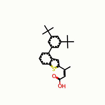 C/C(=C/C(=O)O)c1cc2c(-c3cc(C(C)(C)C)cc(C(C)(C)C)c3)cccc2s1